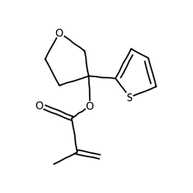 C=C(C)C(=O)OC1(c2cccs2)CCOC1